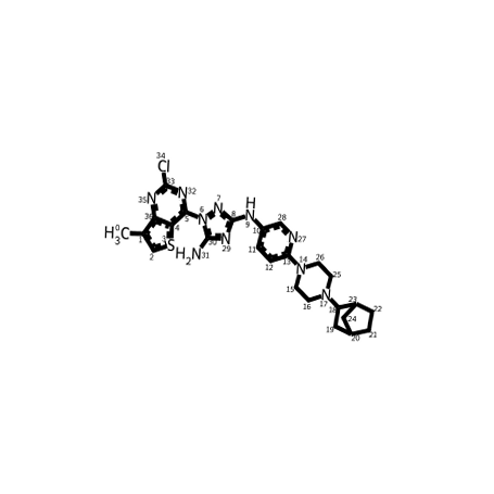 Cc1csc2c(-n3nc(Nc4ccc(N5CCN(C6CC7CCC6C7)CC5)nc4)nc3N)nc(Cl)nc12